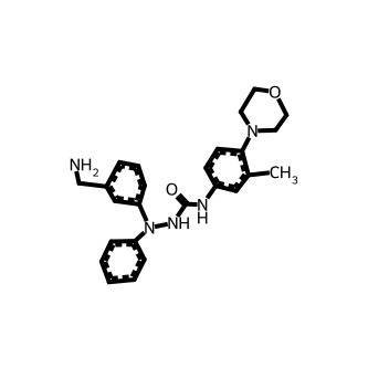 Cc1cc(NC(=O)NN(c2ccccc2)c2cccc(CN)c2)ccc1N1CCOCC1